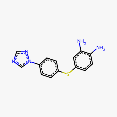 Nc1ccc(Sc2ccc(-n3cncn3)cc2)cc1N